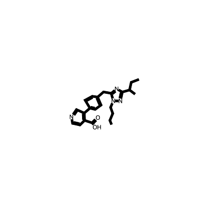 CCCCn1nc(C(C)CC)nc1Cc1ccc(-c2cnccc2C(=O)O)cc1